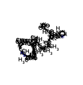 COc1cc2cc(c1Cl)N(C)C(=O)C[C@H](OC(=O)[C@H](C)N(C)C(=O)CCSC(=O)N(C)CCN(C)C(=O)OCc1ccc(OC(=O)NC3CCCC/C=C/[C@@H]3N)c(C(=O)NCCN3C(=O)C=CC3=O)c1)[C@]1(C)O[C@H]1[C@H](C)[C@@H]1C[C@@](O)(NC(=O)O1)[C@H](OC)/C=C/C=C(\C)C2